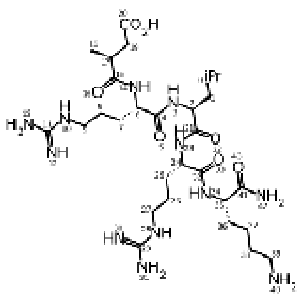 CC(C)C[C@H](NC(=O)[C@H](CCCNC(=N)N)NC(=O)[C@@H](C)CC(=O)O)C(=O)N[C@@H](CCCNC(=N)N)C(=O)N[C@@H](CCCCN)C(N)=O